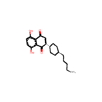 CCCCC[C@H]1CC[C@H](C2=CC(=O)c3c(O)ccc(O)c3C2=O)CC1